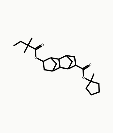 CCC(C)(C)C(=O)OC1CC2CC1C1C3CC(C(=O)OC4(C)CCCC4)C(C3)C21